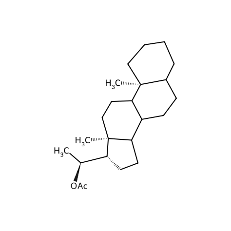 CC(=O)O[C@@H](C)[C@H]1CCC2C3CCC4CCCC[C@]4(C)C3CC[C@@]21C